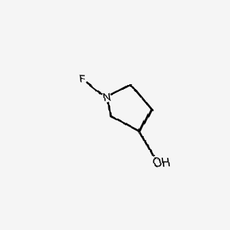 OC1CCN(F)C1